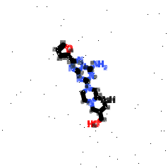 Nc1nc(N2CCN3CC(CO)C[AsH]C3C2)nc2nc(-c3ccco3)nn12